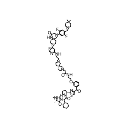 CN[C@@H](C)C(=O)N[C@H](C(=O)N1CCC[C@H]1c1nc(C(=O)c2cccc(OCCNC(=O)CN3CC[C@@]4(CCN(CCNc5cc(N6CCC7(CC6)CN(c6cc(F)c(CN8CCC(C)(C)CC8)cc6F)CC(=O)N7)ncn5)C4)C3)c2)cs1)C1CCCCC1